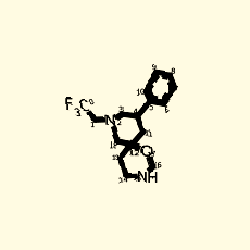 FC(F)(F)CN1CC(c2ccccc2)CC2(CCNCO2)C1